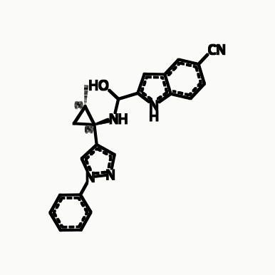 C[C@H]1C[C@@]1(NC(O)c1cc2cc(C#N)ccc2[nH]1)c1cnn(-c2ccccc2)c1